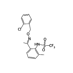 C/C(=N\OCc1ccccc1Cl)c1cccc(C)c1NS(=O)(=O)C(F)(F)F